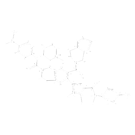 CC(=O)N(C)c1ccc(OC(=O)N2CCc3cc(-c4cc(C(=O)N(C)c5ccc(O)cc5)c(C)n4C)c(C(=O)N4Cc5ccccc5C[C@H]4CN4CCOCC4)cc3C2)cc1